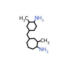 CC1CC(CC2CCC(N)C(C)C2)CCCC1N